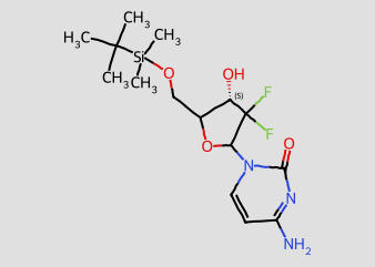 CC(C)(C)[Si](C)(C)OCC1OC(n2ccc(N)nc2=O)C(F)(F)[C@H]1O